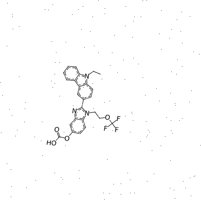 CCn1c2ccccc2c2cc(-c3nc4cc(OC(=O)O)ccc4n3CCOC(F)(F)F)ccc21